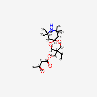 CCC1(COC(=O)CC(C)=O)COC2(CC(C)(C)NC(C)(C)C2)OC1